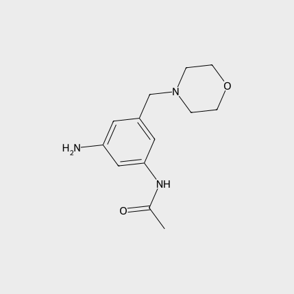 CC(=O)Nc1cc(N)cc(CN2CCOCC2)c1